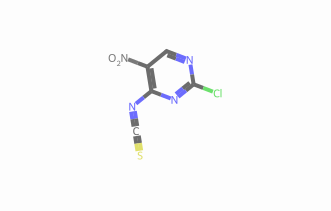 O=[N+]([O-])c1cnc(Cl)nc1N=C=S